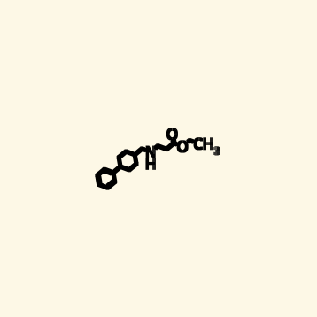 CCOC(=O)CCNCC1CCC(c2ccccc2)CC1